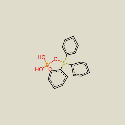 O=P(O)(O)OS(c1ccccc1)(c1ccccc1)c1ccccc1